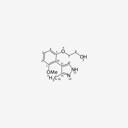 COc1c[c]cc(OCCO)c1-c1c[nH]nc1C